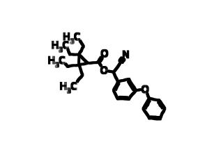 CCC1(CC)C(C(=O)OC(C#N)c2cccc(Oc3ccccc3)c2)C1(CC)CC